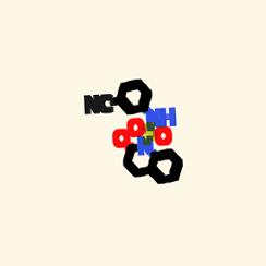 N#Cc1cccc(NS(=O)(=O)N2C(=O)CCc3ccccc32)c1